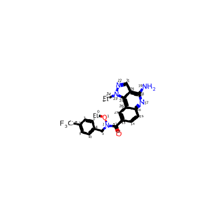 CCON(Cc1ccc(C(F)(F)F)cc1)C(=O)c1ccc2nc(N)c3cnn(CC)c3c2c1